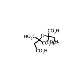 O=C(O)CC(OC(CO)(C(=O)O)C(=O)O)(C(=O)O)C(=O)O